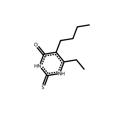 CCCCc1c(CC)[nH]c(=S)[nH]c1=O